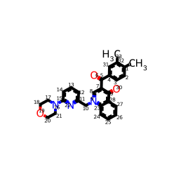 Cc1ccc(C(=O)c2cn(Cc3cccc(N4CCOCC4)n3)c3ccccc3c2=O)cc1C